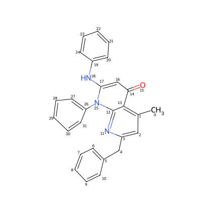 Cc1cc(Cc2ccccc2)nc2c1c(=O)cc(Nc1ccccc1)n2-c1ccccc1